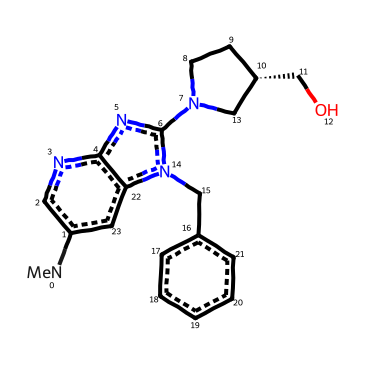 CNc1cnc2nc(N3CC[C@H](CO)C3)n(Cc3ccccc3)c2c1